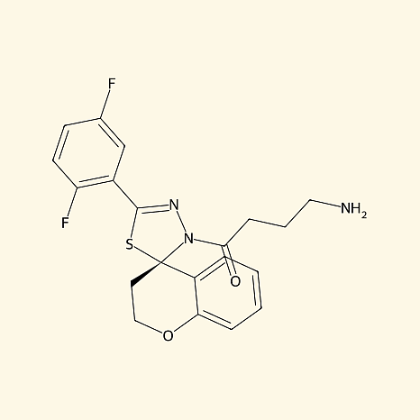 NCCCC(=O)N1N=C(c2cc(F)ccc2F)S[C@]12CCOc1ccccc12